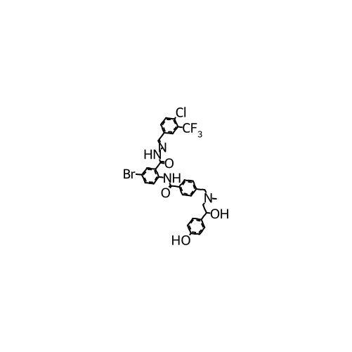 CN(Cc1ccc(C(=O)Nc2ccc(Br)cc2C(=O)N/N=C/c2ccc(Cl)c(C(F)(F)F)c2)cc1)CC(O)c1ccc(O)cc1